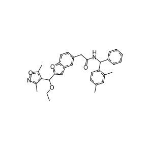 CCOC(c1cc2cc(CC(=O)NC(c3ccccc3)c3ccc(C)cc3C)ccc2o1)c1c(C)noc1C